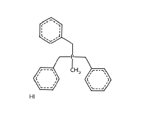 C[P](Cc1ccccc1)(Cc1ccccc1)Cc1ccccc1.I